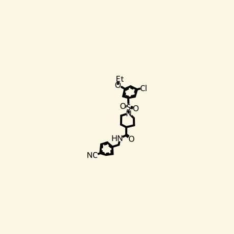 CCOc1cc(Cl)cc(S(=O)(=O)N2CCC(C(=O)NCc3ccc(C#N)cc3)CC2)c1